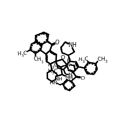 Cc1cccc(C2=CC(C3CCCNC3)C(C(=O)C3(C(C)C4CNCCN4)C=C(C(=O)c4ccccc4)C(c4cccc(C)c4C)=CC3C3CCCNC3)(C(C)C3CNCCN3)C=C2C(=O)c2ccccc2)c1C